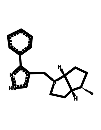 C[C@H]1CC[C@@H]2[C@H]1CCN2Cc1c[nH]nc1-c1ccccc1